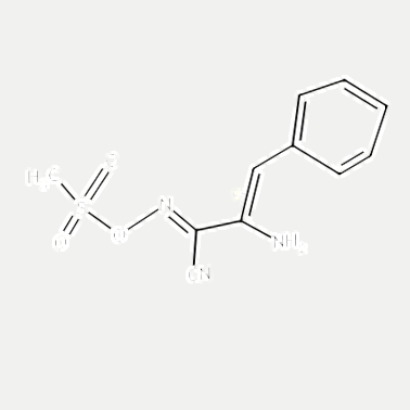 CS(=O)(=O)ON=C(C#N)/C(N)=C/c1ccccc1